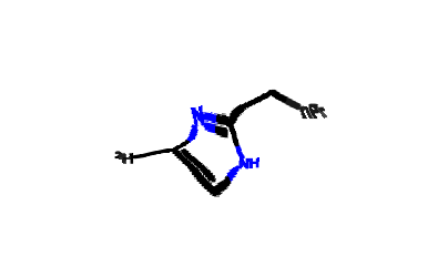 [2H]c1c[nH]c(CCCC)n1